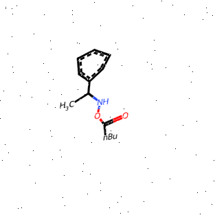 CCCCC(=O)ONC(C)c1ccccc1